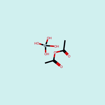 CC(=O)OC(C)=O.O[Si](O)(O)O